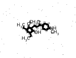 CCc1cc(CC)c(OC)c(C=CC(=O)c2ccc(NC)cc2)c1O